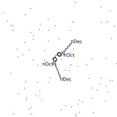 CCCCCCCCCCCCCCCCCCN(CCCCCCCC)c1ccc(Cc2ccc(N(CCCCCCCC)CCCCCCCCCCCCCCCCCC)cc2)cc1